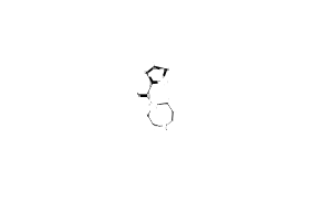 O=C(c1cccs1)N1CCCNCC1